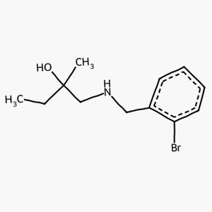 CCC(C)(O)CNCc1ccccc1Br